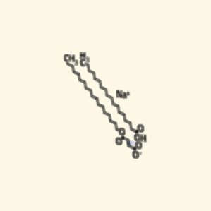 CCCCCCCCCCCCCCCCCC(=O)O.CCCCCCCCCCCCCCCCCCOC(=O)/C=C/C(=O)[O-].[Na+]